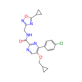 O=C(NCc1noc(C2CC2)n1)c1ncc(OCC2CC2)c(-c2ccc(Cl)cc2)n1